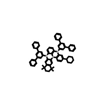 CC1(C)CCC(C)(C)c2cc3c(cc21)B1c2ccc(C4CCCCC4)cc2N(c2cc(-c4ccccc4)cc(-c4ccccc4)c2)c2cccc(c21)N3c1cc(-c2ccccc2)cc(-c2ccccc2)c1